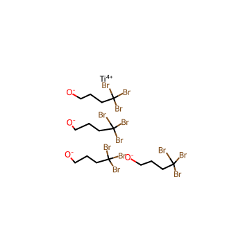 [O-]CCCC(Br)(Br)Br.[O-]CCCC(Br)(Br)Br.[O-]CCCC(Br)(Br)Br.[O-]CCCC(Br)(Br)Br.[Ti+4]